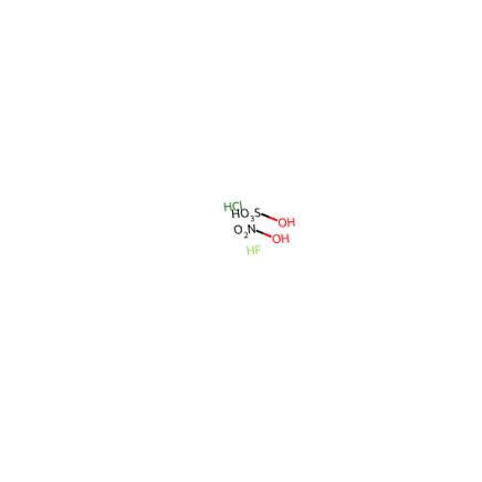 Cl.F.O=S(=O)(O)O.O=[N+]([O-])O